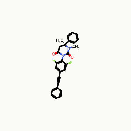 CN1C(=O)N(c2c(F)cc(C#Cc3ccccc3)cc2F)C(=O)C[C@@]1(C)c1ccccc1